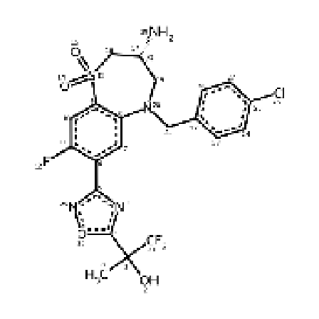 CC(O)(c1nc(-c2cc3c(cc2F)S(=O)(=O)C[C@H](N)CN3Cc2ccc(Cl)cc2)no1)C(F)(F)F